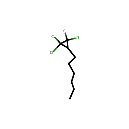 CCCCCCC1C(Cl)(Cl)C1(Cl)Cl